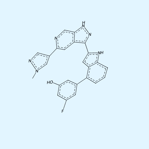 Cn1cc(-c2cc3c(-c4cc5c(-c6cc(O)cc(F)c6)cccc5[nH]4)n[nH]c3cn2)cn1